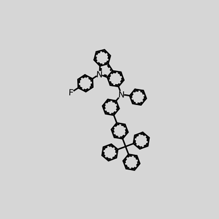 Fc1ccc(-n2c3ccccc3c3ccc(N(c4ccccc4)c4cccc(-c5ccc(C(c6ccccc6)(c6ccccc6)c6ccccc6)cc5)c4)cc32)cc1